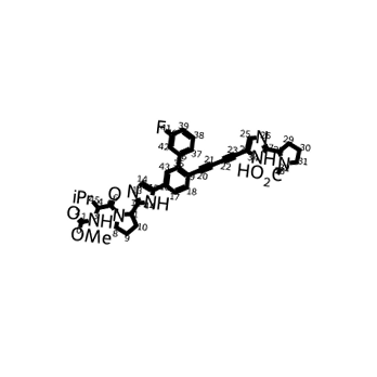 COC(=O)NC(C(=O)N1CCCC1c1ncc(-c2ccc(C#CC#Cc3cnc(C4CCCN4C(=O)O)[nH]3)c(-c3cccc(F)c3)c2)[nH]1)C(C)C